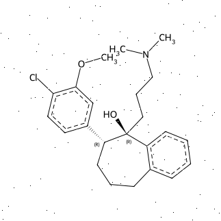 COc1cc([C@H]2CCCc3ccccc3[C@@]2(O)CCCN(C)C)ccc1Cl